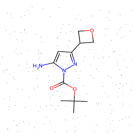 CC(C)(C)OC(=O)n1nc(C2COC2)cc1N